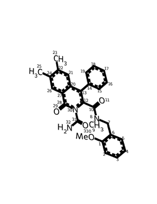 COc1ccccc1CN(C)C(=O)c1c(-c2ccccc2)c2cc(C)c(C)cc2c(=O)n1C(N)=O